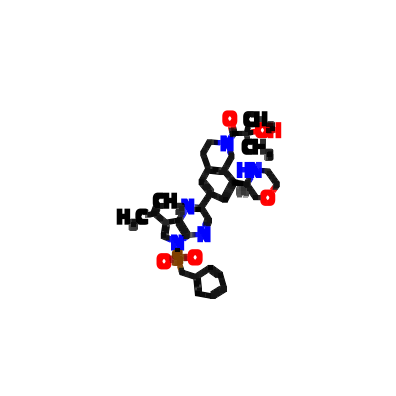 C=C(C)c1cn(S(=O)(=O)Cc2ccccc2)c2ncc(-c3cc4c(c([C@@H]5COCCN5)c3)CN(C(=O)C(C)(C)O)CC4)nc12